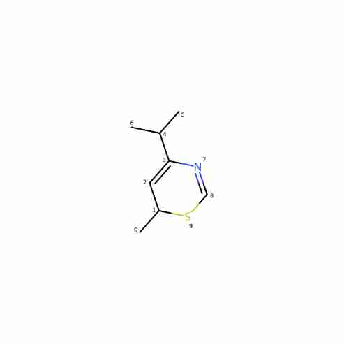 CC1C=C(C(C)C)N=CS1